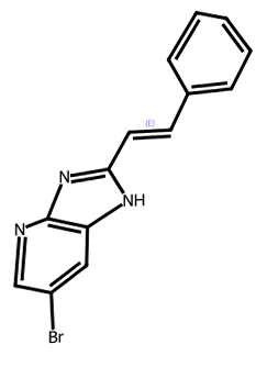 Brc1cnc2nc(/C=C/c3ccccc3)[nH]c2c1